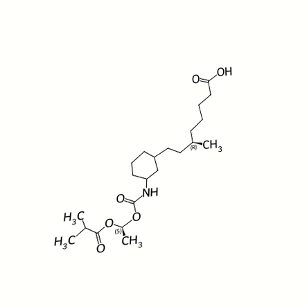 CC(C)C(=O)O[C@H](C)OC(=O)NC1CCCC(CC[C@H](C)CCCCC(=O)O)C1